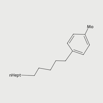 CCCCCCCCCCCCc1cc[c]([Mo])cc1